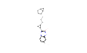 COc1ccc2nc(C3CC3CCC[C@H]3CCC4CC43)c(O)nc2c1